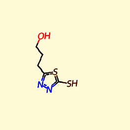 OCCCc1nnc(S)s1